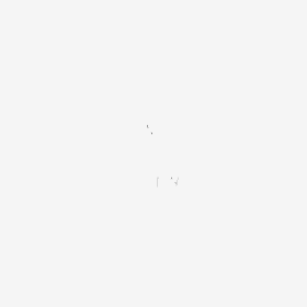 CNC(C)CN1CCCC1